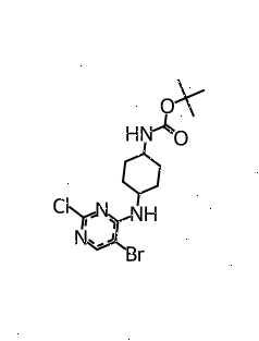 CC(C)(C)OC(=O)NC1CCC(Nc2nc(Cl)ncc2Br)CC1